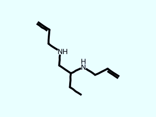 C=CCNCC(CC)NCC=C